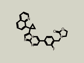 O=C1OCCN1Cc1ccc(-c2cnc3ncc(C4(c5cccc6cccnc56)CC4)n3c2)cc1F